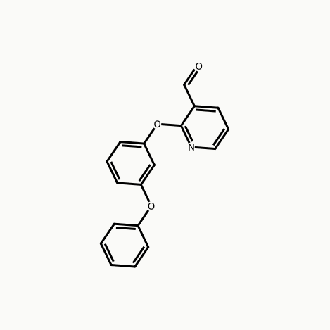 O=Cc1cccnc1Oc1cccc(Oc2ccccc2)c1